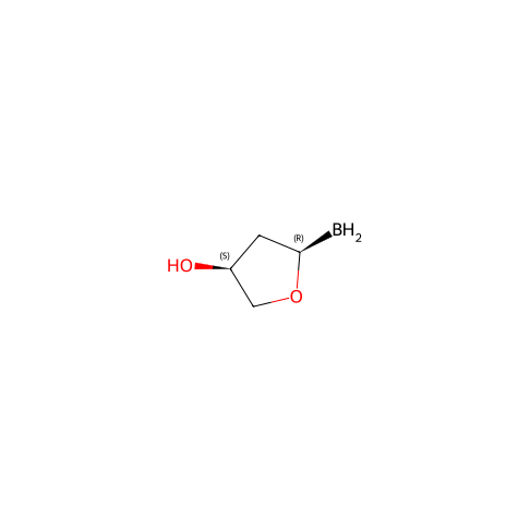 B[C@@H]1C[C@H](O)CO1